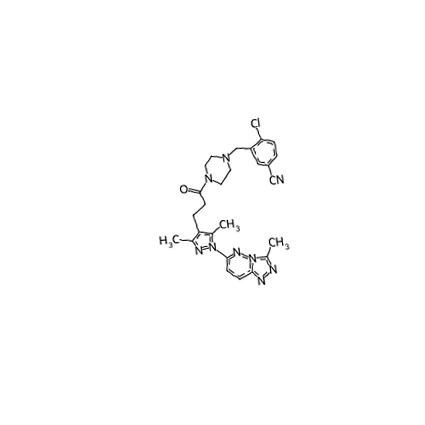 Cc1nn(-c2ccc3nnc(C)n3n2)c(C)c1CCC(=O)N1CCN(Cc2cc(C#N)ccc2Cl)CC1